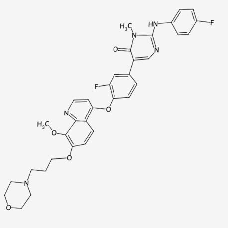 COc1c(OCCCN2CCOCC2)ccc2c(Oc3ccc(-c4cnc(Nc5ccc(F)cc5)n(C)c4=O)cc3F)ccnc12